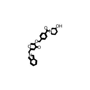 O=C(c1ccc(COc2coc(Cn3cc4ccccc4c3)cc2=O)cc1)N1CCCC(O)C1